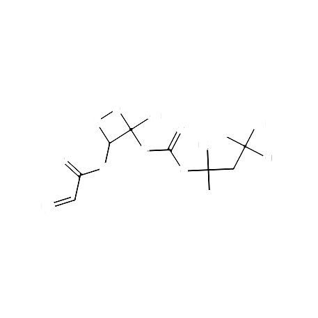 C=CC(=O)OC1OOC1(C)OC(=O)OC(C)(C)CC(C)(C)C